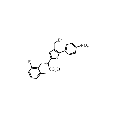 CCOC(=O)N(Cc1c(F)cccc1F)c1cc(CBr)c(-c2ccc([N+](=O)[O-])cc2)s1